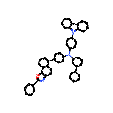 c1ccc(-c2cccc(N(c3ccc(-c4cccc5c4ccc4nc(-c6ccccc6)oc45)cc3)c3ccc(-n4c5ccccc5c5ccccc54)cc3)c2)cc1